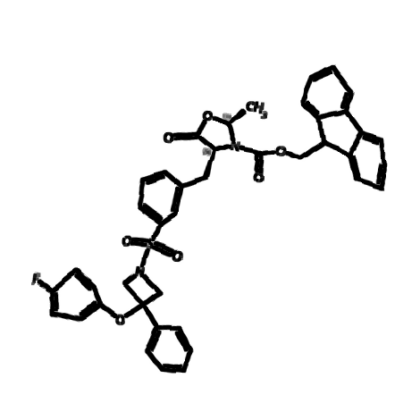 C[C@@H]1OC(=O)[C@H](Cc2cccc(S(=O)(=O)N3CC(Oc4ccc(F)cc4)(c4ccccc4)C3)c2)N1C(=O)OCC1c2ccccc2-c2ccccc21